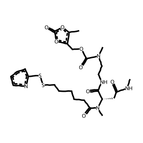 CNC(=O)C[C@@H](C(=O)NCCN(C)C(=O)OCc1oc(=O)oc1C)N(C)C(=O)CCCCCSSc1ccccn1